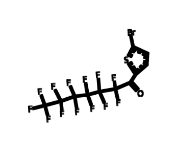 O=C(c1ccc(Br)s1)C(F)(F)C(F)(F)C(F)(F)C(F)(F)C(F)(F)C(F)(F)F